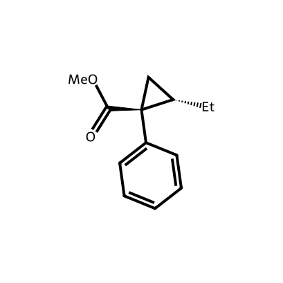 CC[C@H]1C[C@@]1(C(=O)OC)c1ccccc1